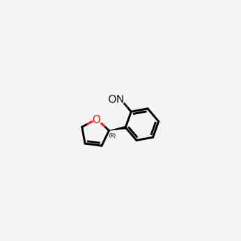 O=Nc1ccccc1[C@H]1C=CCO1